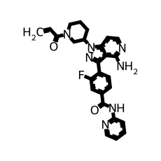 C=CC(=O)N1CCCC(n2nc(-c3ccc(C(=O)Nc4ccccn4)cc3F)c3c(N)nccc32)C1